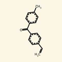 C=Cc1ccc(C(=O)c2ccc(C)cc2)cc1